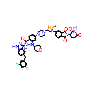 CPN(CCN1CCN(c2ccc(C(=O)Nc3n[nH]c4ccc(Cc5cc(F)cc(F)c5)cc34)c(NC3CCOCC3)c2)CC1)c1ccc2c(c1)C(=O)N(C1CCC(=O)NC1=O)C2=O